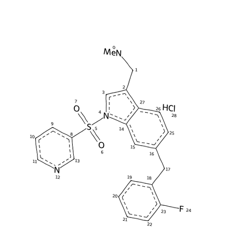 CNCc1cn(S(=O)(=O)c2cccnc2)c2cc(Cc3ccccc3F)ccc12.Cl